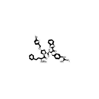 CN[C@H](CCc1ccccc1)C(=O)N1C[C@H](OCc2ccc(Br)s2)C[C@H]1C(=O)N[C@@H](Cc1ccc(NC(=N)N)cc1)C(=O)c1nc2ccccc2o1